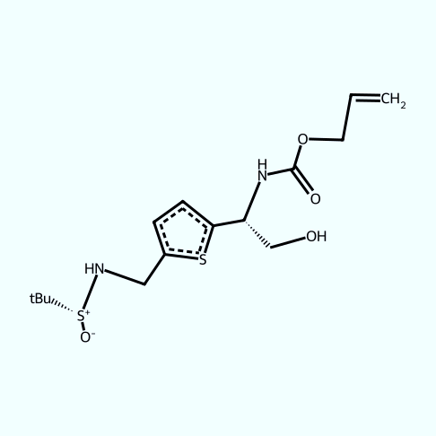 C=CCOC(=O)N[C@H](CO)c1ccc(CN[S@+]([O-])C(C)(C)C)s1